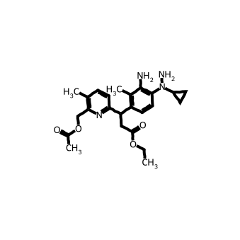 CCOC(=O)CC(c1ccc(C)c(COC(C)=O)n1)c1ccc(N(N)C2CC2)c(N)c1C